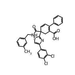 Cc1cccc(CNC(=O)C2(c3nc(-c4ccc(Cl)c(Cl)c4)cs3)C=CC(c3ccccc3)=C(C(=O)O)C2)c1